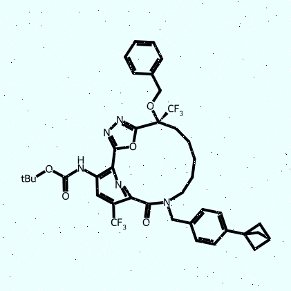 CC(C)(C)OC(=O)Nc1cc(C(F)(F)F)c2nc1-c1nnc(o1)[C@@](OCc1ccccc1)(C(F)(F)F)CCCCCN(Cc1ccc(C34CC(C3)C4)cc1)C2=O